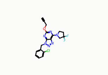 C#CCOc1nc(N2CCC(F)(F)C2)c2nnn(Cc3ccccc3Cl)c2n1